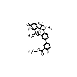 CCOC(=O)c1cc(-c2ccc(C(C)C(O)(c3ccc(=O)[nH]c3CC)C(F)(F)F)c(Cl)c2)ccc1F